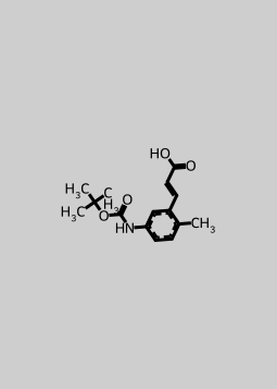 Cc1ccc(NC(=O)OC(C)(C)C)cc1/C=C/C(=O)O